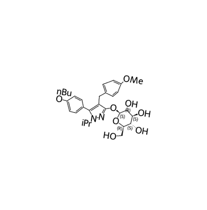 CCCCOc1ccc(-c2c(Cc3ccc(OC)cc3)c(O[C@@H]3O[C@H](CO)[C@@H](O)[C@H](O)[C@H]3O)nn2C(C)C)cc1